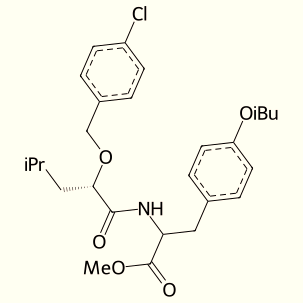 COC(=O)C(Cc1ccc(OCC(C)C)cc1)NC(=O)[C@H](CC(C)C)OCc1ccc(Cl)cc1